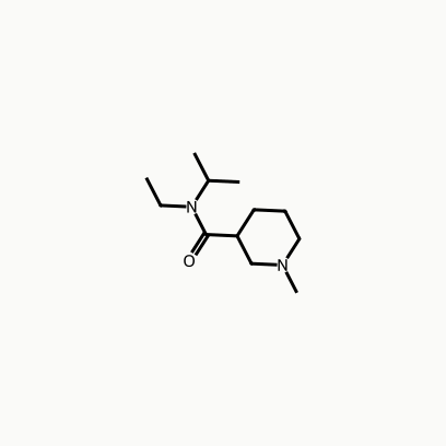 CCN(C(=O)C1CCCN(C)C1)C(C)C